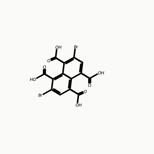 O=C(O)c1cc(Br)c(C(=O)O)c2c(C(=O)O)c(Br)cc(C(=O)O)c12